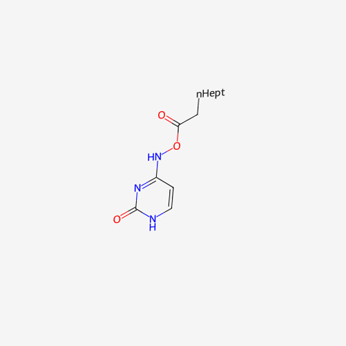 CCCCCCCCC(=O)ONc1cc[nH]c(=O)n1